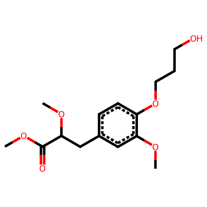 COC(=O)C(Cc1ccc(OCCCO)c(OC)c1)OC